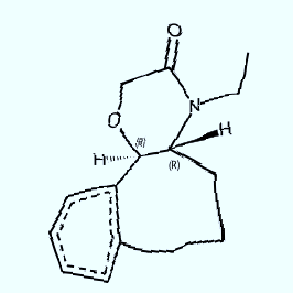 CCN1C(=O)CO[C@@H]2c3ccccc3CCC[C@H]21